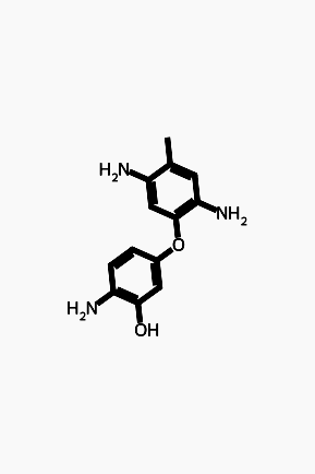 Cc1cc(N)c(Oc2ccc(N)c(O)c2)cc1N